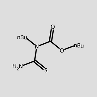 CCCCOC(=O)N(CCCC)C(N)=S